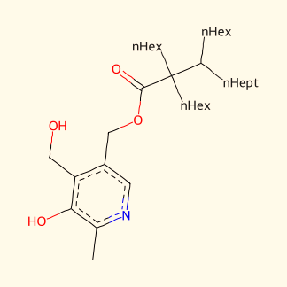 CCCCCCCC(CCCCCC)C(CCCCCC)(CCCCCC)C(=O)OCc1cnc(C)c(O)c1CO